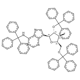 F[C@@H]1[C@@H](OC(c2ccccc2)(c2ccccc2)c2ccccc2)[C@H](n2cnc3c(NC(c4ccccc4)(c4ccccc4)c4ccccc4)ncnc32)O[C@@H]1COC(c1ccccc1)(c1ccccc1)c1ccccc1